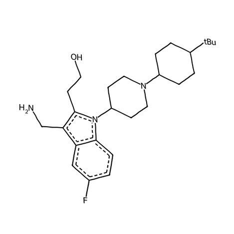 CC(C)(C)C1CCC(N2CCC(n3c(CCO)c(CN)c4cc(F)ccc43)CC2)CC1